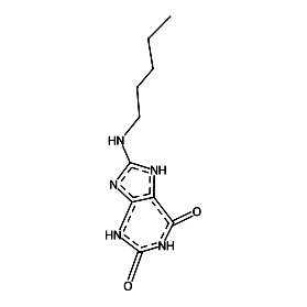 CCCCCNc1nc2[nH]c(=O)[nH]c(=O)c2[nH]1